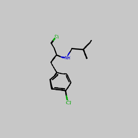 CC(C)CNC(CCl)Cc1ccc(Cl)cc1